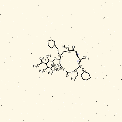 CC[C@H]1OC(=O)C[C@@H](O)[C@H](C)C(OC2OC(C)C(C)C(N(C)C)C2O)[C@@H](CCN2CCCCC2)C[C@@H](C)C(=O)/C=C/C(C)=C/[C@@H]1CN1CCCCC1